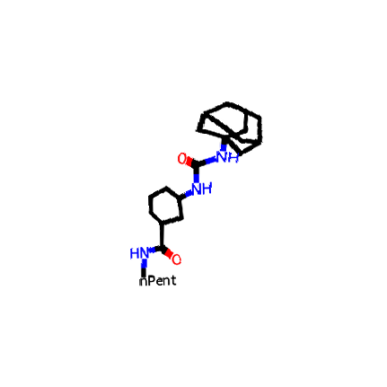 CCCCCNC(=O)C1CCCC(NC(=O)NC23CC4CC(CC(C4)C2)C3)C1